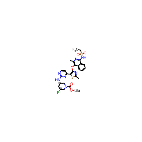 Cc1nc(Oc2c(C)nc(NS(=O)(=O)CC(F)(F)F)c3ccccc23)c(-c2ccnc(N[C@H]3C[C@H](F)CN(C(=O)OC(C)(C)C)C3)n2)s1